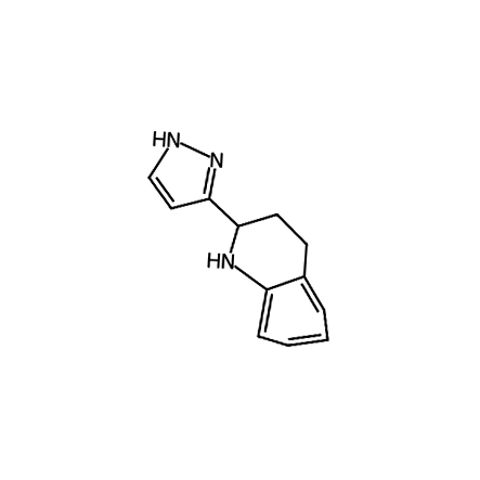 c1ccc2c(c1)CCC(c1cc[nH]n1)N2